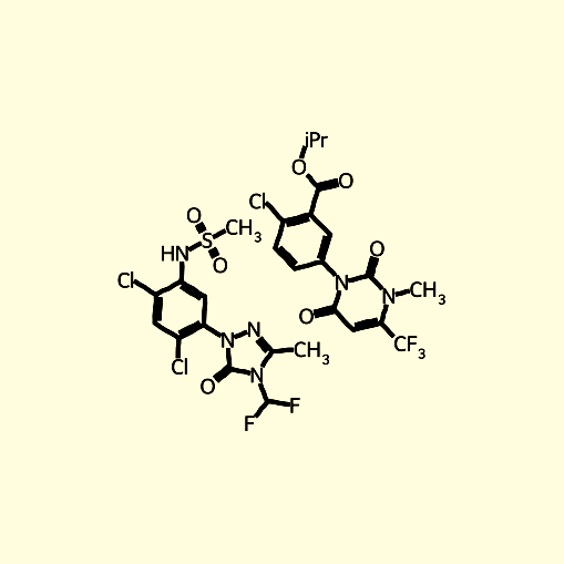 CC(C)OC(=O)c1cc(-n2c(=O)cc(C(F)(F)F)n(C)c2=O)ccc1Cl.Cc1nn(-c2cc(NS(C)(=O)=O)c(Cl)cc2Cl)c(=O)n1C(F)F